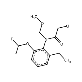 CCc1cccc(OC(F)F)c1N(COC)C(=O)CCl